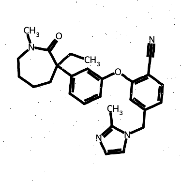 CCC1(c2cccc(Oc3cc(Cn4ccnc4C)ccc3C#N)c2)CCCCN(C)C1=O